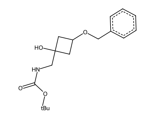 CC(C)(C)OC(=O)NCC1(O)CC(OCc2ccccc2)C1